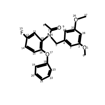 COc1cc(CN(C(C)=O)c2cc(F)ccc2Oc2ccccc2)cc(OC)c1